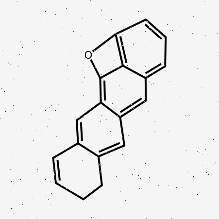 C1=Cc2cc3c4c5c(cccc5cc3cc2CC1)O4